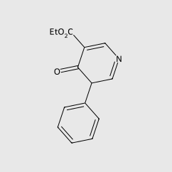 CCOC(=O)C1=CN=CC(c2ccccc2)C1=O